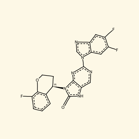 O=c1[nH]c2cnc(-n3cnc4cc(F)c(F)cc43)nc2n1[C@@H]1CCOc2c(F)cccc21